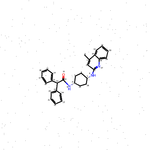 Cc1cc(N[C@H]2CC[C@@H](NC(=O)C(c3ccccc3)c3ccccc3)CC2)nc2ccccc12